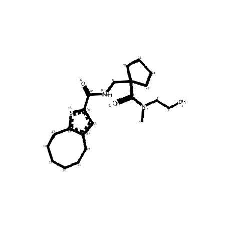 CN(CCO)C(=O)C1(CNC(=O)c2cc3c(s2)CCCCCC3)CCCC1